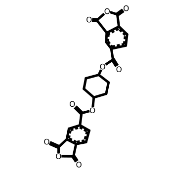 O=C(OC1CCC(OC(=O)c2ccc3c(c2)C(=O)OC3=O)CC1)c1ccc2c(c1)C(=O)OC2=O